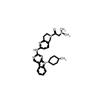 CN(C)CC(=O)N1CCc2nc(Nc3ncc4c5ccccc5n([C@H]5CC[C@H](C)CC5)c4n3)ccc2C1